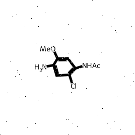 COc1cc(NC(C)=O)c(Cl)cc1N